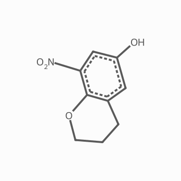 O=[N+]([O-])c1cc(O)cc2c1OCCC2